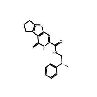 C[C@@H](CNC(=O)c1nc2sc3c(c2c(=O)[nH]1)CCC3)c1ccccc1